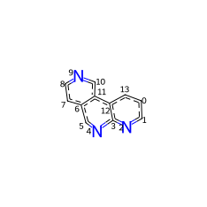 c1cnc2ncc3ccncc3c2c1